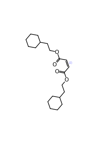 O=C(/C=C\C(=O)OCCC1CCCCC1)OCCC1CCCCC1